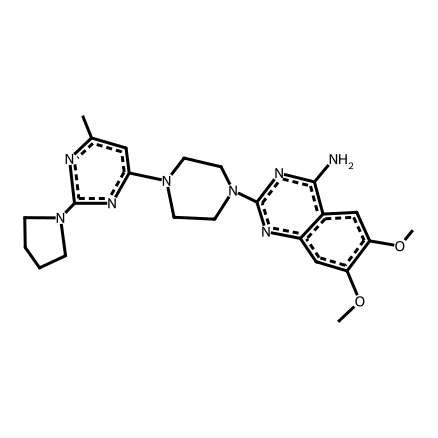 COc1cc2nc(N3CCN(c4cc(C)nc(N5CCCC5)n4)CC3)nc(N)c2cc1OC